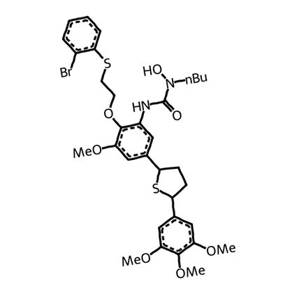 CCCCN(O)C(=O)Nc1cc(C2CCC(c3cc(OC)c(OC)c(OC)c3)S2)cc(OC)c1OCCSc1ccccc1Br